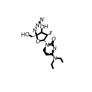 CCN(CC)c1ccn([C@@H]2O[C@@](CO)(N=[N+]=[N-])C(O)[C@@H]2F)c(=O)n1